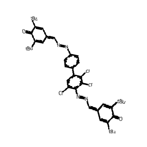 CC(C)(C)C1=CC(=C/N=N/c2ccc(-c3cc(Cl)c(/N=N/C=C4C=C(C(C)(C)C)C(=O)C(C(C)(C)C)=C4)c(Cl)c3Cl)cc2)C=C(C(C)(C)C)C1=O